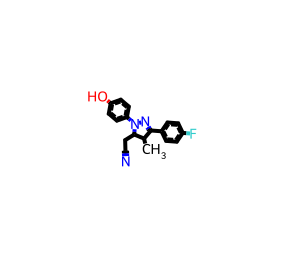 CC1C(c2ccc(F)cc2)=NN(c2ccc(O)cc2)C1CC#N